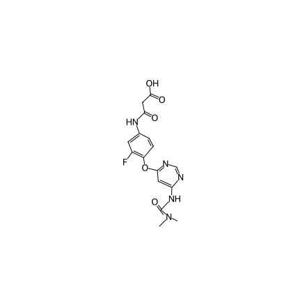 CN(C)C(=O)Nc1cc(Oc2ccc(NC(=O)CC(=O)O)cc2F)ncn1